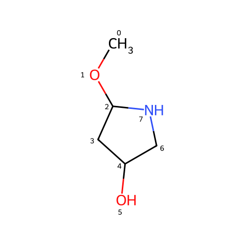 COC1CC(O)CN1